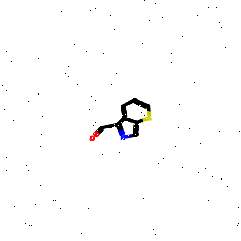 O=Cc1ncc2scccc1-2